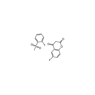 CS(=O)(=O)c1ccccc1I.O=C1CC(=O)c2cc(F)ccc2O1